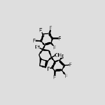 CCC1(c2c(F)c(F)c(F)c(F)c2F)CC2CC=C2C(C)(c2c(F)c(F)c(F)c(F)c2F)C1